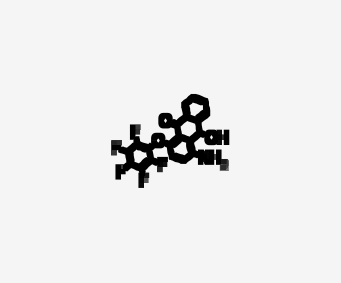 Nc1ccc(Oc2c(F)c(F)c(F)c(F)c2F)c2c1C(O)c1ccccc1C2=O